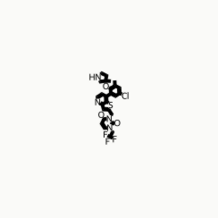 Cc1cc(Cl)cc(-c2ccnc3cc(Cn4c(=O)ccn(CC(F)(F)F)c4=O)sc23)c1OC1(C)CCNC1